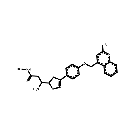 Cc1cc(COc2ccc(C3=NOC(C(N)CC(=O)NO)C3)cc2)c2ccccc2n1